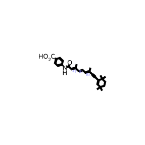 C\C(C#CC1=CC(C)(C)CCC1(C)C)=C/C=C/C(C)=C/C(=O)Nc1ccc(C(=O)O)cc1